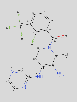 CC1C(N)=C(Nc2cnccn2)CCN1C(=O)c1cccc(C(F)(F)F)c1F